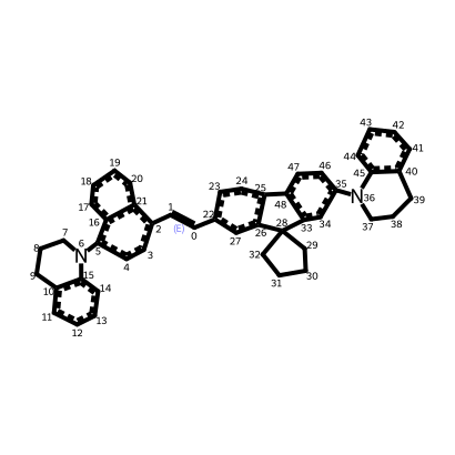 C(=C\c1ccc(N2CCCc3ccccc32)c2ccccc12)/c1ccc2c(c1)C1(CCCC1)c1cc(N3CCCc4ccccc43)ccc1-2